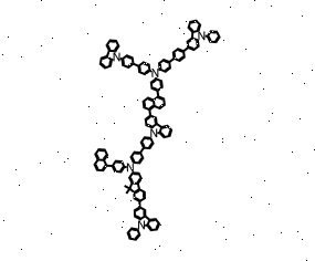 CC1(C)c2cc(-c3ccc4c(c3)c3ccccc3n4-c3ccccc3)ccc2-c2ccc(N(c3ccc(-c4ccc(-n5c6ccccc6c6cc(-c7cccc8c(-c9ccc(N(c%10ccc(-c%11ccc(-c%12ccc%13c(c%12)c%12ccccc%12n%13-c%12ccccc%12)cc%11)cc%10)c%10ccc(-c%11ccc(-n%12c%13ccccc%13c%13ccccc%13%12)cc%11)cc%10)cc9)cccc78)ccc65)cc4)cc3)c3ccc(-c4cccc5ccccc45)cc3)cc21